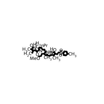 C=CC1=C(C)C(=O)N/C1=C\C1=NC(=C\c2[nH]c(/C=C3\NC(=O)C(CCS(=O)(=O)c4ccc(C)cc4)=C3C)c(C)c2CCC(=O)OC)/C(CCC)=C1C